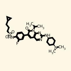 CC(C)n1c(=O)c(-c2ccc(NS(=O)(=O)CCCC3CC3)c(F)c2)cc2cnc(N[C@H]3CC[C@H](N(C)C)CC3)nc21